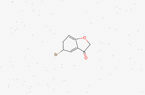 O=C1COC2=CCC(Br)C=C12